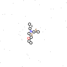 CC1(C)c2ccccc2-c2ccc(N(c3ccc4c(c3)sc3ccccc34)c3cccc4c3sc3ccc5c(oc6ccc7ccccc7c65)c34)cc21